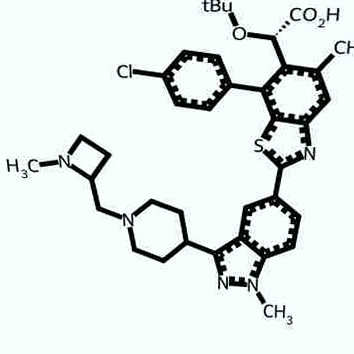 Cc1cc2nc(-c3ccc4c(c3)c(C3CCN(CC5CCN5C)CC3)nn4C)sc2c(-c2ccc(Cl)cc2)c1[C@H](OC(C)(C)C)C(=O)O